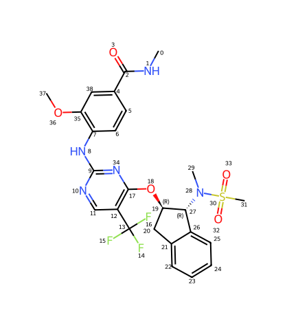 CNC(=O)c1ccc(Nc2ncc(C(F)(F)F)c(O[C@@H]3Cc4ccccc4[C@H]3N(C)S(C)(=O)=O)n2)c(OC)c1